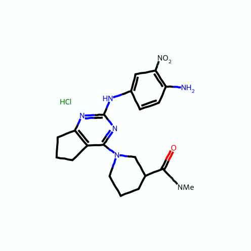 CNC(=O)C1CCCN(c2nc(Nc3ccc(N)c([N+](=O)[O-])c3)nc3c2CCC3)C1.Cl